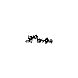 O=C(O)c1cncc(C2CN(c3cncc(OCc4ccc(OC(F)(F)F)cc4)c3)CCO2)c1